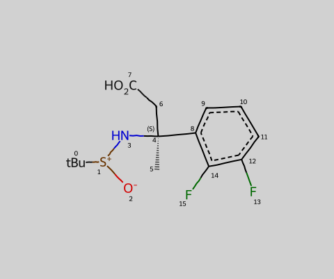 CC(C)(C)[S+]([O-])N[C@@](C)(CC(=O)O)c1cccc(F)c1F